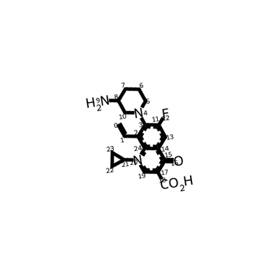 C=Cc1c(N2CCCC(N)C2)c(F)cc2c(=O)c(C(=O)O)cn(C3CC3)c12